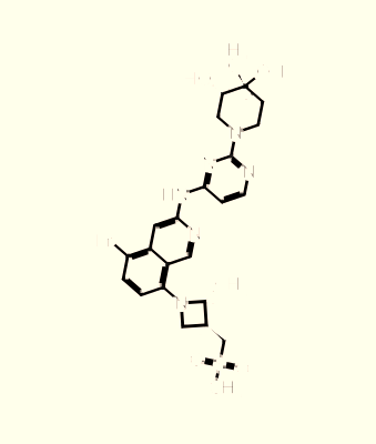 CC(C)c1ccc(N2C[C@H](CS(C)(=O)=O)[C@H]2C)c2cnc(Nc3ccnc(N4CC[C@@](C)(O)[C@@H](O)C4)n3)cc12